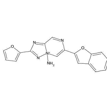 N[N+]12C=C(c3cc4ccccc4o3)N=CC1=NC(c1ccco1)=N2